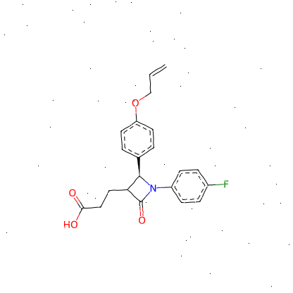 C=CCOc1ccc([C@@H]2C(CCC(=O)O)C(=O)N2c2ccc(F)cc2)cc1